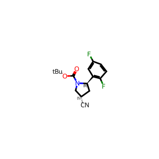 CC(C)(C)OC(=O)N1C[C@@H](C#N)C[C@@H]1c1cc(F)ccc1F